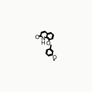 COc1cccc(COc2cccc3ccc(=O)[nH]c23)c1